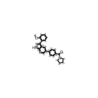 COc1ccccc1-c1n[nH]c2ncc(-c3ccc(C(=O)N4CCCC4)cc3)cc12